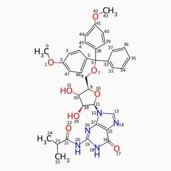 COc1ccc(C(OC[C@H]2O[C@@H](n3cnc4c(=O)[nH]c(NC(=O)C(C)C)nc43)[C@@H](O)C2O)(c2ccccc2)c2ccc(OC)cc2)cc1